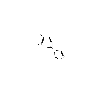 Nc1ccc(-n2ccnc2)nc1N